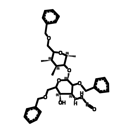 C[C@@H]1C(COCc2ccccc2)O[C@H](C)C(O[C@H]2OC(COCc3ccccc3)[C@@H](O)[C@H](PBB=O)C2OCc2ccccc2)[C@H]1C